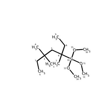 CCC(C)(C)CC(C)(CC)[Si](OC)(OC)OC